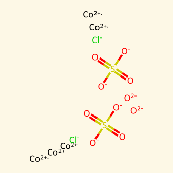 O=S(=O)([O-])[O-].O=S(=O)([O-])[O-].[Cl-].[Cl-].[Co+2].[Co+2].[Co+2].[Co+2].[Co+2].[O-2].[O-2]